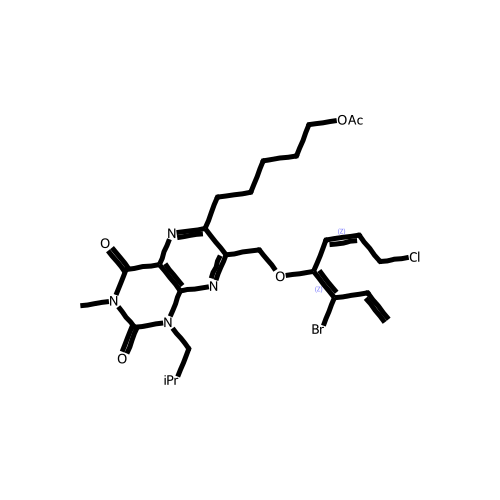 C=C/C(Br)=C(\C=C/CCl)OCc1nc2c(nc1CCCCCOC(C)=O)c(=O)n(C)c(=O)n2CC(C)C